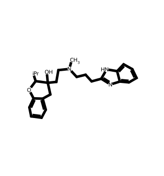 CC(C)C1Oc2ccccc2CC1(O)CCN(C)CCCc1nc2ccccc2[nH]1